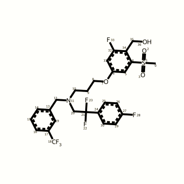 CS(=O)(=O)c1cc(OCCCN(Cc2cccc(C(F)(F)F)c2)CC(F)(F)c2ccc(F)cc2)cc(F)c1CO